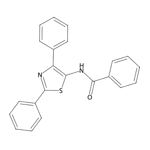 O=C(Nc1sc(-c2ccccc2)nc1-c1ccccc1)c1ccccc1